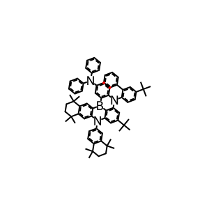 CC(C)(C)c1ccc(N2c3ccc(N(c4ccccc4)c4ccccc4)cc3B3c4cc5c(cc4N(c4ccc6c(c4)C(C)(C)CCC6(C)C)c4cc(C(C)(C)C)cc2c43)C(C)(C)CCC5(C)C)c(-c2ccccc2)c1